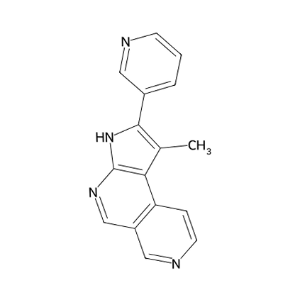 Cc1c(-c2cccnc2)[nH]c2ncc3cnccc3c12